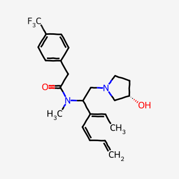 C=C/C=C\C(=C/C)C(CN1CC[C@H](O)C1)N(C)C(=O)Cc1ccc(C(F)(F)F)cc1